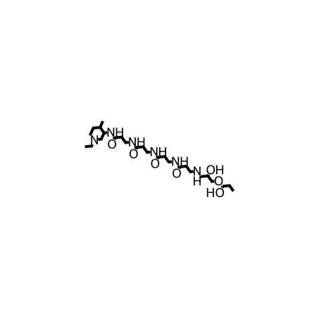 CCC(O)OCC(O)CNCCC(=O)NCCC(=O)NCCC(=O)NCCC(=O)NC1CN(CC)CCC1C